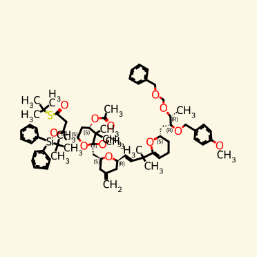 C=C1C[C@@H](C[C@]2(OC)O[C@H](C[C@H](CC(=O)SC(C)(C)C)O[Si](c3ccccc3)(c3ccccc3)C(C)(C)C)C[C@H](OC(C)=O)C2(C)C)O[C@@H](C=CC(C)(C)C2=CCC[C@@H](C[C@@H](OCc3ccc(OC)cc3)[C@@H](C)OCOCc3ccccc3)O2)C1